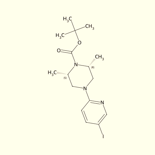 C[C@@H]1CN(c2ccc(I)cn2)C[C@H](C)N1C(=O)OC(C)(C)C